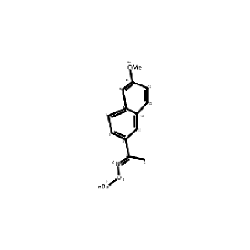 CCCCO/N=C(\C)c1ccc2cc(OC)ccc2c1